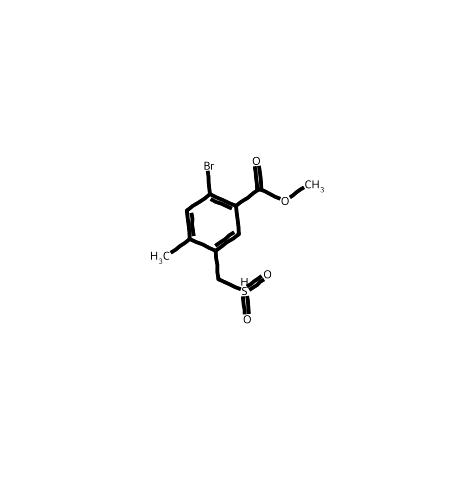 COC(=O)c1cc(C[SH](=O)=O)c(C)cc1Br